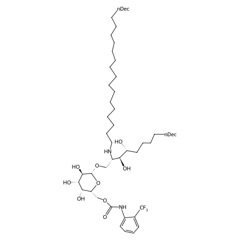 CCCCCCCCCCCCCCCCCCCCCCCCCCN[C@@H](CO[C@@H]1O[C@H](COC(=O)Nc2ccccc2C(F)(F)F)[C@H](O)[C@H](O)[C@H]1O)[C@H](O)[C@H](O)CCCCCCCCCCCCCC